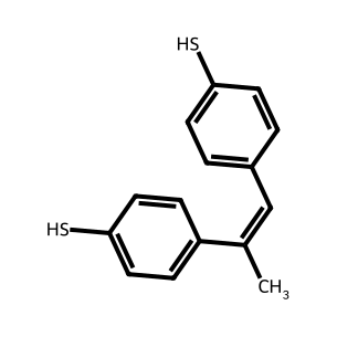 CC(=Cc1ccc(S)cc1)c1ccc(S)cc1